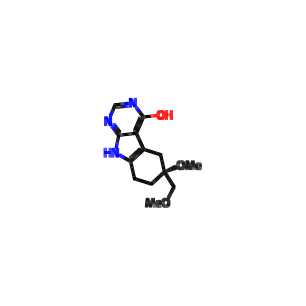 COC[C@]1(OC)CCc2[nH]c3ncnc(O)c3c2C1